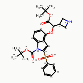 CC(C)(C)OC(=O)C(Oc1cccc2c1cc(S(=O)(=O)c1ccccc1)n2C(=O)OC(C)(C)C)C1CNC1